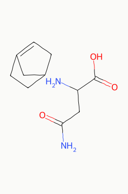 C1=C2CCC(C1)C2.NC(=O)CC(N)C(=O)O